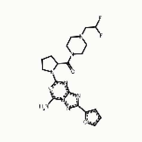 Nc1nc(N2CCCC2C(=O)N2CCN(CC(F)F)CC2)nc2nc(-c3ccco3)nn12